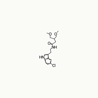 COCC(COC)CC(=O)NCCc1c[nH]c2ccc(Cl)cc12